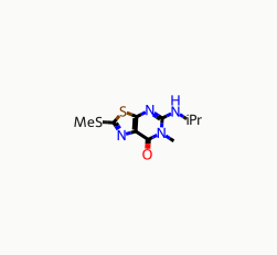 CSc1nc2c(=O)n(C)c(NC(C)C)nc2s1